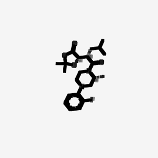 CC(C)C[C@H](C(=O)N1CCN(c2ccccc2F)C[C@H]1C)[C@@H]1OC(C)(C)OC1=O